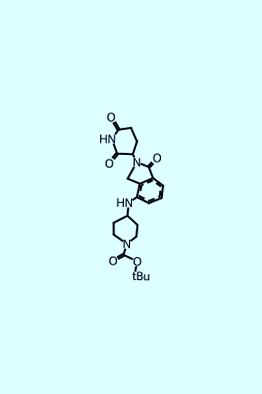 CC(C)(C)OC(=O)N1CCC(Nc2cccc3c2CN(C2CCC(=O)NC2=O)C3=O)CC1